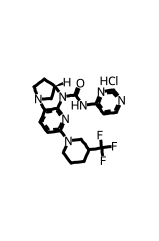 Cl.O=C(Nc1ccncn1)N1c2nc(N3CCCC(C(F)(F)F)C3)ccc2N2CC[C@H]1C2